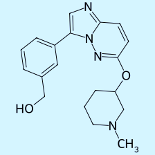 CN1CCCC(Oc2ccc3ncc(-c4cccc(CO)c4)n3n2)C1